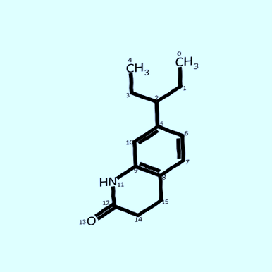 CCC(CC)c1ccc2c(c1)NC(=O)CC2